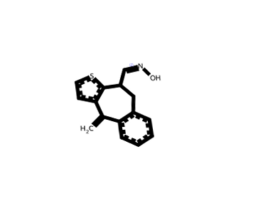 C=C1c2ccccc2CC(/C=N\O)c2sccc21